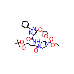 CCOC(=O)N1CCN(C(=O)C(CCC(=O)OC(C)(C)C)NC(=O)c2cc(OC3CCOC3)nc(-c3ccccc3)n2)CC1